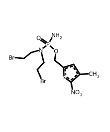 Cc1cc(COP(N)(=O)N(CCBr)CCBr)sc1[N+](=O)[O-]